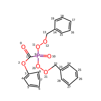 O=C(Oc1ccccc1)P(=O)(OOCc1ccccc1)OOCc1ccccc1